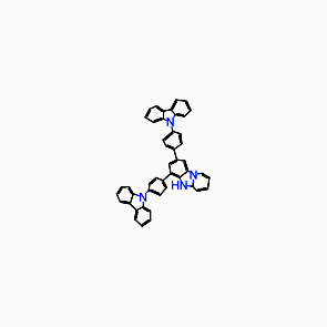 C1=CC2Nc3c(-c4ccc(-n5c6ccccc6c6ccccc65)cc4)cc(-c4ccc(-n5c6ccccc6c6ccccc65)cc4)cc3N2C=C1